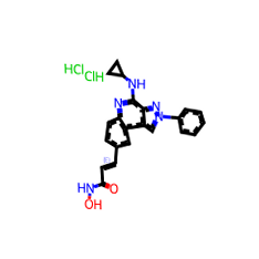 Cl.Cl.O=C(/C=C/c1ccc2nc(NC3CC3)c3nn(-c4ccccc4)cc3c2c1)NO